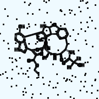 CCC(O)(CC)C(=O)N[C@H]1Cc2ccc3c(c2)C24c5cccc(c5NC2O3)-c2c(O)ccc3[nH]cc(c23)-c2oc(nc2C(=O)OCI)-c2nc(oc24)[C@H](C(C)C)NC1=O